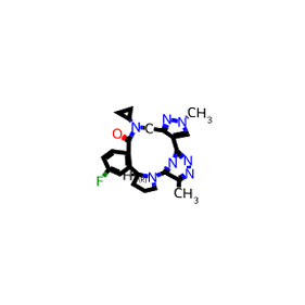 Cc1nnc2nc1N1CCC[C@@H]1c1cc(F)ccc1C(=O)N(C1CC1)Cc1nn(C)cc1-2